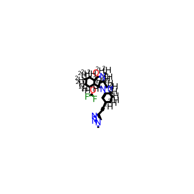 [2H]N1C2([2H])C(=CC(C#Cc3cn(C)nn3)C([2H])([2H])C2([2H])[2H])N2[C@@H]3C[C@@]([2H])(N(C([2H])([2H])[2H])C(=O)C4([2H])C3C([2H])(OC(F)F)C([2H])([2H])C([2H])([2H])C4([2H])[2H])C21[2H]